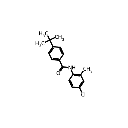 Cc1cc(Cl)ccc1NC(=O)c1ccc(C(C)(C)C)cc1